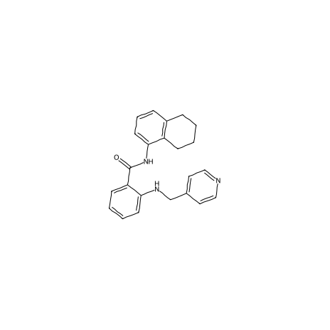 O=C(Nc1cccc2c1CCCC2)c1ccccc1NCc1ccncc1